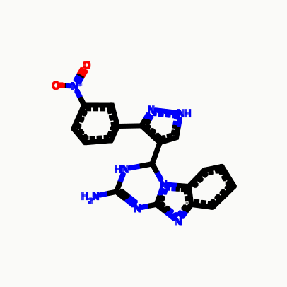 NC1=Nc2nc3ccccc3n2C(c2c[nH]nc2-c2cccc([N+](=O)[O-])c2)N1